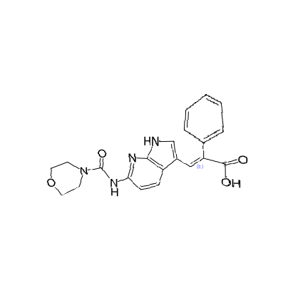 O=C(O)/C(=C/c1c[nH]c2nc(NC(=O)N3CCOCC3)ccc12)c1ccccc1